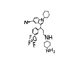 N#Cc1ccc2c(c1)c(C(CCN[C@H]1CC[C@H](N)CC1)c1cccc(OC(F)(F)F)c1)cn2C1CCCCC1